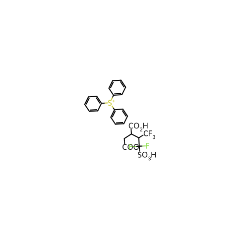 O=C([O-])CC(C(=O)O)C(C(F)(F)F)C(F)(F)S(=O)(=O)O.c1ccc([S+](c2ccccc2)c2ccccc2)cc1